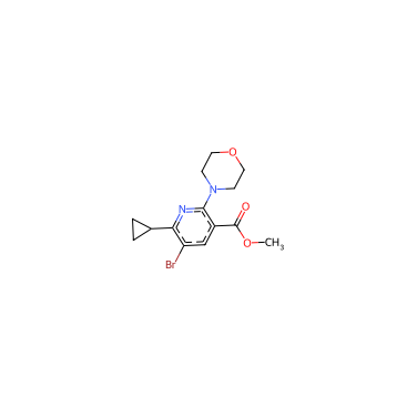 COC(=O)c1cc(Br)c(C2CC2)nc1N1CCOCC1